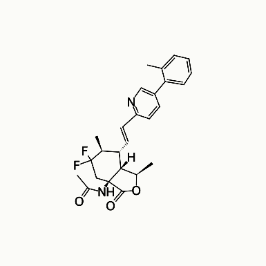 CC(=O)N[C@@]12CC(F)(F)[C@@H](C)[C@H](/C=C/c3ccc(-c4ccccc4C)cn3)[C@@H]1[C@@H](C)OC2=O